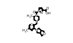 Cc1ccc(CN2CCN(C(=O)n3ccc(C(=O)O)n3)[C@H](C)C2)c(N2CC3COCC3C2)c1